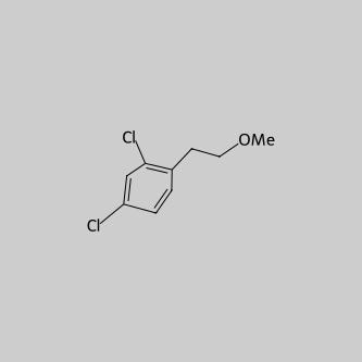 COCCc1ccc(Cl)cc1Cl